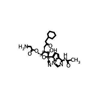 CC(=O)Nc1ncnn2c([C@]3(C#N)O[C@H](COC(=O)CN)[C@@H](CC(=O)CC4CCCCC4)[C@H]3O)ccc12